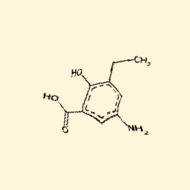 CCc1cc(N)cc(C(=O)O)c1O